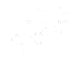 CCCCOC1[C@@H](CN[C@]2(C(=O)OC)C[C@@H](OC(C)=O)[C@@H](NC(C)=O)C(C(OC(C)=O)C(COC(C)=O)OC(C)=O)O2)NC[C@H](O)[C@H]1OCCCC